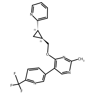 Cc1ncc(-c2ccc(C(F)(F)F)nc2)c(OC[C@H]2C[C@@H]2c2ccccn2)n1